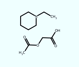 CC(=O)OCC(=O)O.CCN1CCCCC1